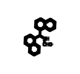 O=[C]NC(c1cccc2ccccc12)c1cccc2ccccc12